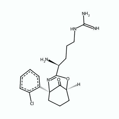 N=C(N)NCCC[C@H](N)C1=N[C@]2(c3ccccc3Cl)CCC[C@H](O1)C2=O